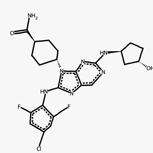 NC(=O)[C@H]1CC[C@H](n2c(Nc3c(F)cc(Cl)cc3F)nc3cnc(N[C@H]4CC[C@H](O)C4)nc32)CC1